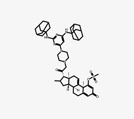 CC1C[C@H]2[C@@H]3CCC4=CC(=O)C=C(OS(C)(=O)=O)[C@]4(C)C3=CC[C@]2(C)[C@H]1C(=O)CN1CCN(c2cc(NC34CC5CC(CC(C5)C3)C4)nc(NC34CC5CC(CC(C5)C3)C4)n2)CC1